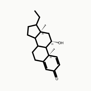 CCC1CCC2C3CCC4=CC(=O)C=C[C@]4(C)C3[C@@H](O)C[C@]12C